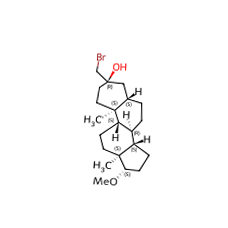 CO[C@H]1CC[C@H]2[C@@H]3CC[C@H]4C[C@@](O)(CBr)CC[C@]4(C)[C@H]3CC[C@]12C